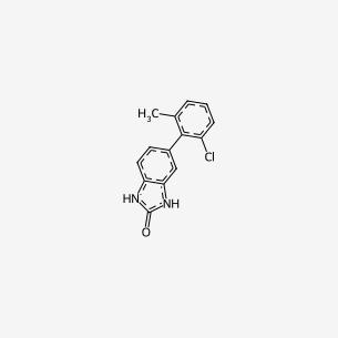 Cc1cccc(Cl)c1-c1ccc2[nH]c(=O)[nH]c2c1